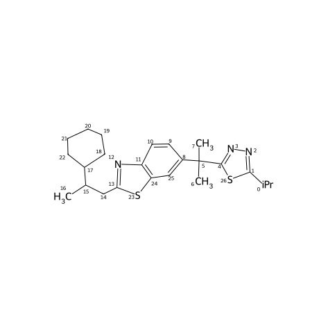 CC(C)c1nnc(C(C)(C)c2ccc3nc(CC(C)C4CCCCC4)sc3c2)s1